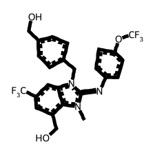 Cn1/c(=N/c2ccc(OC(F)(F)F)cc2)n(Cc2ccc(CO)cc2)c2cc(C(F)(F)F)cc(CO)c21